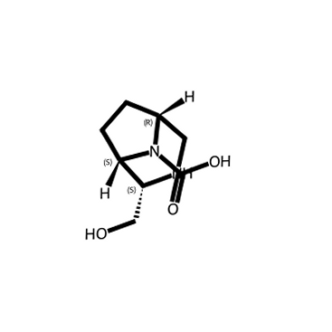 O=C(O)N1[C@@H]2CC[C@H]1[C@@H](CO)NC2